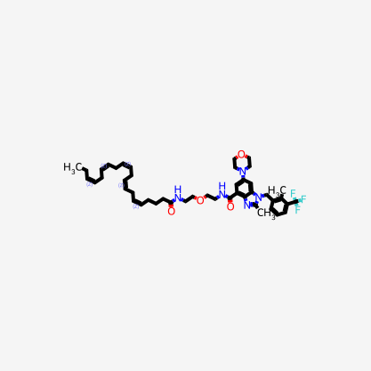 CC/C=C\C/C=C\C/C=C\C/C=C\C/C=C\CCCC(=O)NCCOCCNC(=O)c1cc(N2CCOCC2)cc2c1nc(C)n2Cc1cccc(C(F)(F)F)c1C